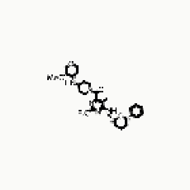 CO[C@@H]1COCC[C@@H]1NC1CCN(C(=O)c2nc(C(F)(F)F)nc(NC[C@H]3CCC[C@@H](c4ccccc4)O3)c2C)CC1